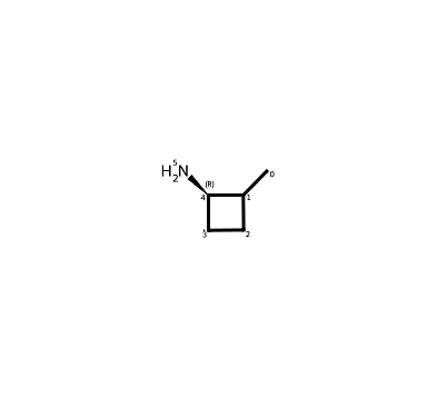 CC1C[CH][C@H]1N